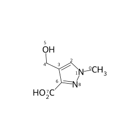 Cn1cc(CO)c(C(=O)O)n1